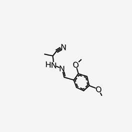 COc1ccc(C=NNC(C)C#N)c(OC)c1